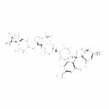 CC(C)(C)[C@H]1CN(C2CCN(C3(C)c4ccc(Cl)cc4CCc4cc(Br)cnc43)CC2)CCN1C(=O)CC1CCN(C(N)=O)CC1